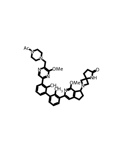 COc1nc(-c2cccc(-c3cccc(-c4cc5c(c(OC)n4)C(N4CC6(CCC(=O)N6)C4)CC5)c3C)c2C)cnc1CN1CCN(C(C)=O)CC1